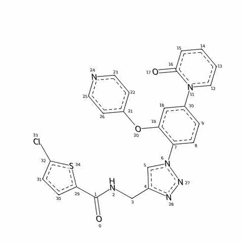 O=C(NCc1cn(-c2ccc(-n3ccccc3=O)cc2Oc2ccncc2)nn1)c1ccc(Cl)s1